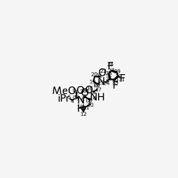 COC(=O)[C@H](CC(C)C)NC(=O)[C@H](CC1CC1)NC(=O)C[C@@H]1CCC(=O)N1Cc1cc(F)cc(F)c1F